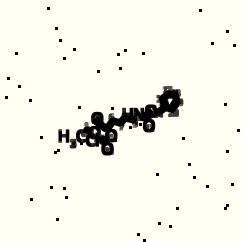 CCOC(=O)C(CCCCNC(=O)OCc1ccccc1)OC(=O)Cl